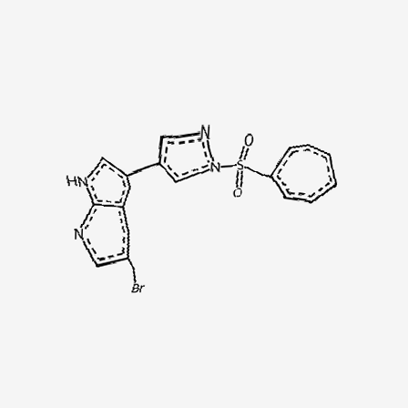 O=S(=O)(c1ccccc1)n1cc(-c2c[nH]c3ncc(Br)cc23)cn1